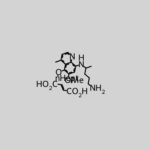 CCCCCCCOc1c(OC)cc(NC(C)CCCN)c2nccc(C)c12.O=C(O)/C=C/C(=O)O